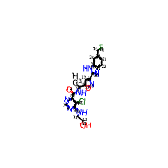 C[C@H](NC(=O)c1ncnc(NCCO)c1Cl)c1cc(-c2nc3ccc(CF)cc3[nH]2)no1